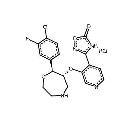 Cl.O=c1[nH]c(-c2ccncc2O[C@@H]2CNCCO[C@H]2c2ccc(Cl)c(F)c2)no1